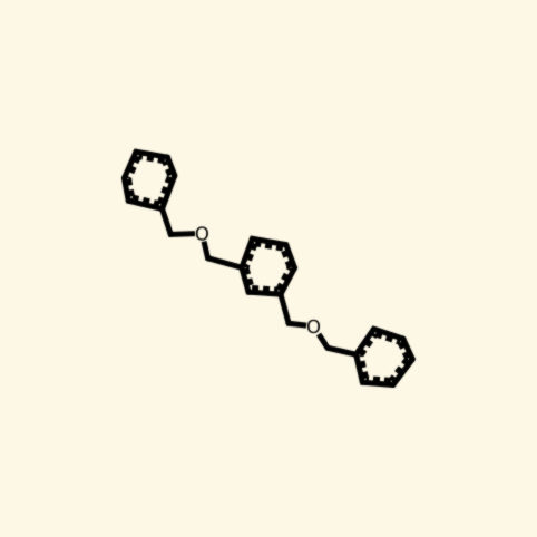 c1ccc(COCc2cccc(COCc3ccccc3)c2)cc1